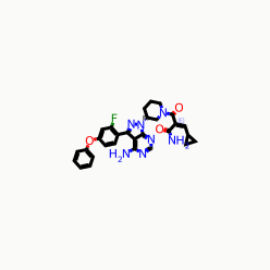 NC(=O)/C(=C\C1CC1)C(=O)N1CCC[C@@H](n2nc(-c3ccc(Oc4ccccc4)cc3F)c3c(N)ncnc32)C1